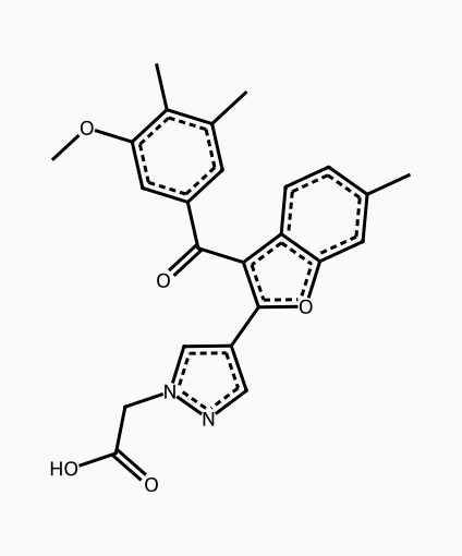 COc1cc(C(=O)c2c(-c3cnn(CC(=O)O)c3)oc3cc(C)ccc23)cc(C)c1C